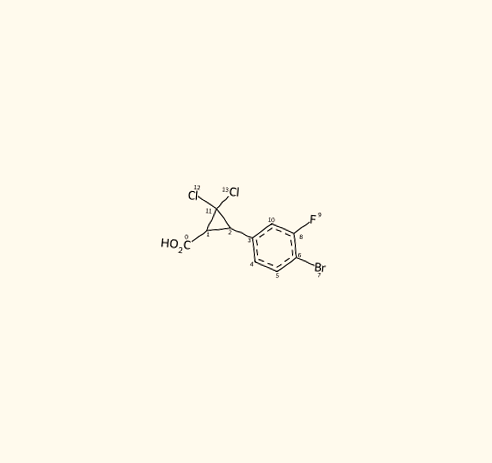 O=C(O)C1C(c2ccc(Br)c(F)c2)C1(Cl)Cl